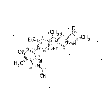 CC[C@H]1CN(C(C)c2ccn3nc(C)c(F)c3c2)[C@H](CC)CN1c1cc(=O)n(C)c2cn(CC#N)nc12